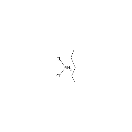 CCCCC.Cl[SiH2]Cl